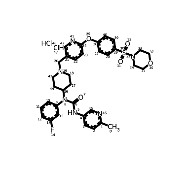 Cc1ccc(NC(=O)N(c2cccc(F)c2)C2CCN(Cc3ccc(Oc4ccc(S(=O)(=O)N5CCOCC5)cc4)nc3)CC2)cn1.Cl.Cl